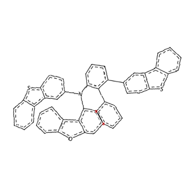 c1ccc(-c2c(-c3ccc4sc5ccccc5c4c3)cccc2N(c2ccc3sc4ccccc4c3c2)c2cccc3oc4ccccc4c23)cc1